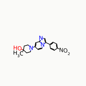 CC1(O)CCN(c2ccn3c(-c4ccc([N+](=O)[O-])cc4)cnc3c2)CC1